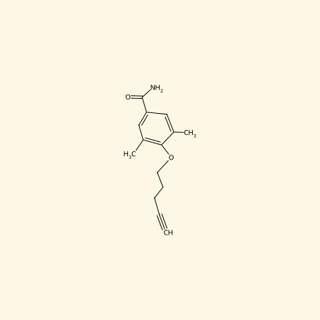 C#CCCCOc1c(C)cc(C(N)=O)cc1C